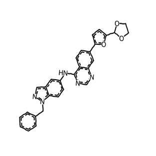 c1ccc(Cn2ncc3cc(Nc4ncnc5cc(-c6ccc(C7OCCO7)o6)ccc45)ccc32)cc1